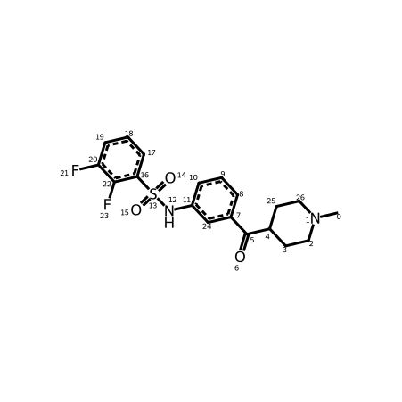 CN1CCC(C(=O)c2cccc(NS(=O)(=O)c3cccc(F)c3F)c2)CC1